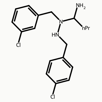 CCCC(N)N(Cc1cccc(Cl)c1)NCc1ccc(Cl)cc1